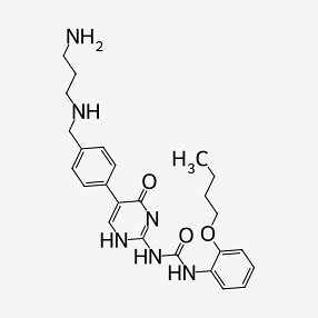 CCCCOc1ccccc1NC(=O)Nc1nc(=O)c(-c2ccc(CNCCCN)cc2)c[nH]1